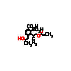 C=CC(=O)OCC(C)c1c(CC(C)O)ccc(C(=O)O)c1C(=O)O